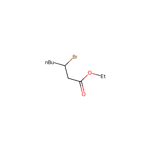 CCCCC(Br)CC(=O)OCC